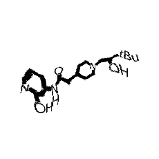 CC(C)(C)C(O)CN1CCC(CC(=O)Nc2cccnc2O)CC1